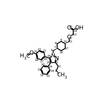 CCCc1nn(C[C@H]2CC[C@@H](COCC(=O)O)CC2)c(-c2ccc(OC)cc2)c1-c1ccccc1